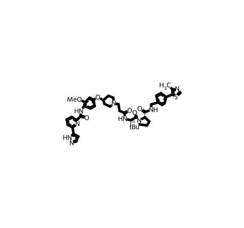 COc1cc(OC2CCN(CCC(=O)N[C@H](C(=O)N3CCC[C@H]3C(=O)NCc3ccc(-c4scnc4C)cc3)C(C)(C)C)CC2)ccc1NC(=O)c1cccc(-c2ccn[nH]2)n1